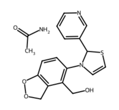 CC(N)=O.OCc1c(N2C=CSC2c2cccnc2)ccc2c1COO2